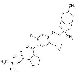 CC1CC2CC(C1)CC(C)(COc1cc(F)c(C(=O)N3CCCC3C(=O)OC(C)(C)C)cc1C1CC1)C2